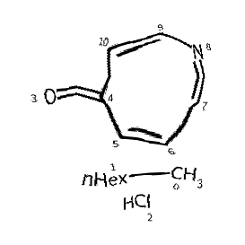 CCCCCCC.Cl.O=c1cccncc1